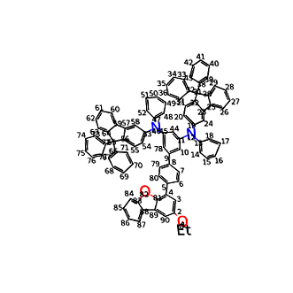 CCOc1cc(-c2ccc(-c3cc(N(c4ccccc4)c4ccc5c(c4)-c4ccccc4C5(c4ccccc4)c4ccccc4)cc(N(c4ccccc4)c4ccc5c(c4)-c4ccccc4C5(c4ccccc4)c4ccccc4)c3)cc2)c2oc3ccccc3c2c1